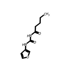 CCCCC(=O)NC(=O)Nc1ccoc1